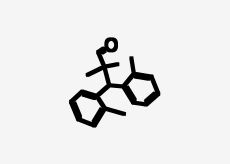 Cc1ccccc1C(c1ccccc1C)C(C)(C)C=O